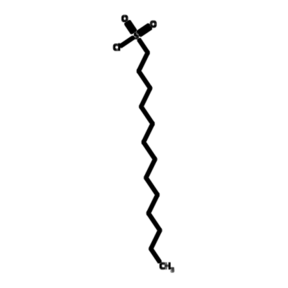 CCCCCCCCCCCCCS(=O)(=O)Cl